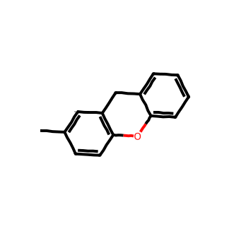 Cc1[c]c2c(cc1)Oc1ccccc1C2